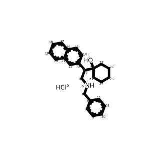 Cl.OC1(C(CNCc2ccccc2)c2ccc3ccccc3c2)CCCCC1